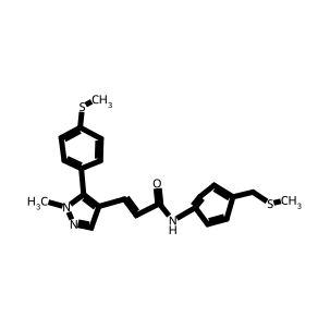 CSCc1ccc(NC(=O)/C=C/c2cnn(C)c2-c2ccc(SC)cc2)cc1